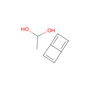 CC(O)O.c1cc2ccc1-2